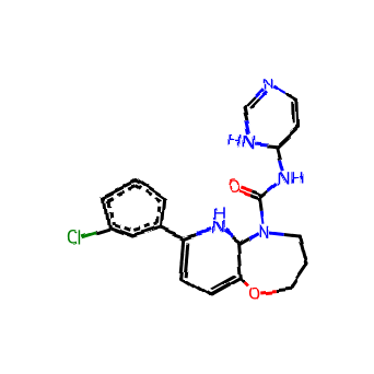 O=C(NC1C=CN=CN1)N1CCCOC2=CC=C(c3cccc(Cl)c3)NC21